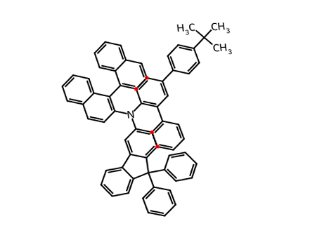 CC(C)(C)c1ccc(-c2ccc(N(c3ccc4c(c3)-c3ccccc3C4(c3ccccc3)c3ccccc3)c3ccc4ccccc4c3-c3cccc4ccccc34)c(-c3ccccc3)c2)cc1